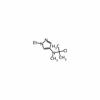 CCn1cc(N(C)C(C)(C)Cl)cn1